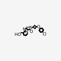 O=C(NC1CC(Oc2ccc(Cl)cc2)C1)c1cnc2c(CO)cccn12